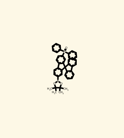 CC1(C)OB(c2ccc3c(c2)C2(c4ccccc4-c4ccccc42)c2cc(P(=O)(c4ccccc4)c4ccccc4)ccc2-3)OC1(C)C